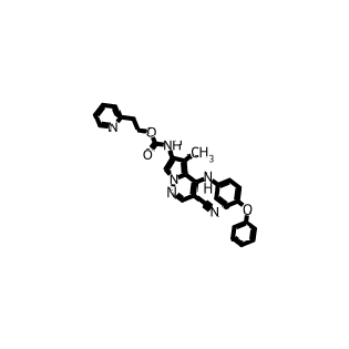 Cc1c(NC(=O)OCCc2ccccn2)cn2ncc(C#N)c(Nc3ccc(Oc4ccccc4)cc3)c12